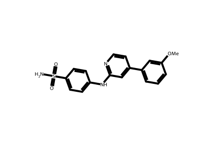 COc1cccc(-c2ccnc(Nc3ccc(S(N)(=O)=O)cc3)c2)c1